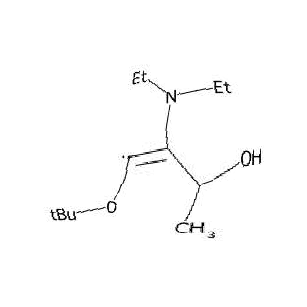 CCN(CC)C(=[C]OC(C)(C)C)C(C)O